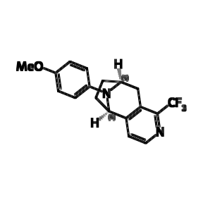 COc1ccc(N2[C@H]3CC[C@@H]2c2ccnc(C(F)(F)F)c2C3)cc1